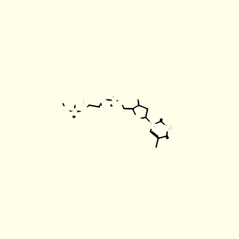 COP(=O)(O)OCCOP(=O)(O)OCC1OC(n2cc(C)c(=O)[nH]c2=O)CC1O